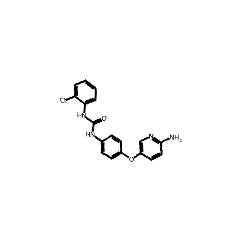 Nc1ccc(Oc2ccc(NC(=O)Nc3ccccc3Cl)cc2)cn1